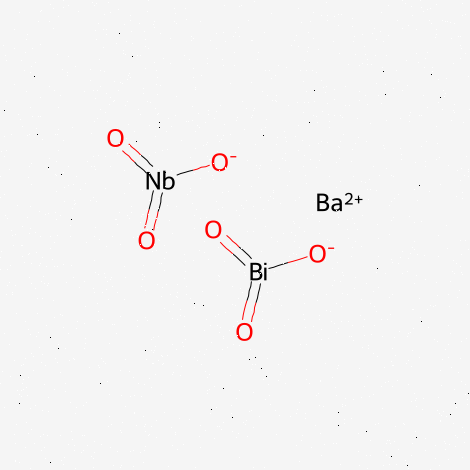 [Ba+2].[O]=[Bi](=[O])[O-].[O]=[Nb](=[O])[O-]